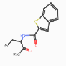 COC(=O)[C@@H](CC(C)C)NC(=O)c1cc2ccccc2s1